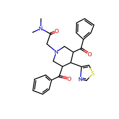 CN(C)C(=O)CN1CC(C(=O)c2ccccc2)C(c2cscn2)C(C(=O)c2ccccc2)C1